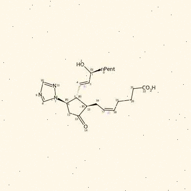 CCCCC[C@H](O)/C=C/[C@H]1[C@H](n2cncn2)CC(=O)[C@@H]1C/C=C\CCCC(=O)O